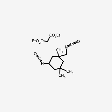 CC1(C)CC(N=C=O)CC(C)(CN=C=O)C1.CCOC(=O)CC(=O)OCC